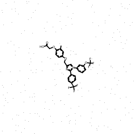 Cc1cc(OCc2cn(-c3cccc(OC(F)(F)F)c3)c(-c3ccc(C(F)(F)F)cc3)n2)ccc1OCC(=O)O